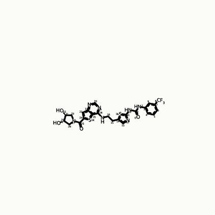 O=C(Nc1cccc(C(F)(F)F)c1)Nc1ncc(CCNc2ncnc3cc(C(=O)N4C[C@H](O)[C@@H](O)C4)sc23)s1